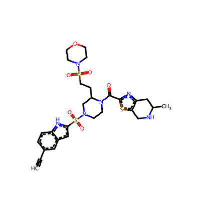 C#Cc1ccc2[nH]c(S(=O)(=O)N3CCN(C(=O)c4nc5c(s4)CNC(C)C5)C(CCS(=O)(=O)N4CCOCC4)C3)cc2c1